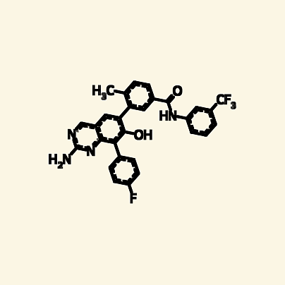 Cc1ccc(C(=O)Nc2cccc(C(F)(F)F)c2)cc1-c1cc2cnc(N)nc2c(-c2ccc(F)cc2)c1O